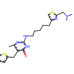 Cc1nc(NCCCCCc2csc(CN(C)C)n2)[nH]c(=O)c1Cc1cccs1